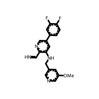 COc1cncc(CNc2cc(-c3ccc(F)c(F)c3)cnc2C=N)c1